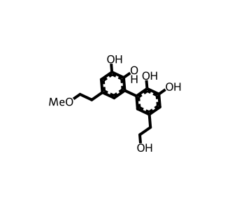 COCCc1cc(O)c(O)c(-c2cc(CCO)cc(O)c2O)c1